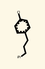 CC(C)CCCc1ccc(Cl)cc1